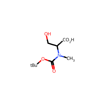 CN(C(=O)OC(C)(C)C)C(CO)C(=O)O